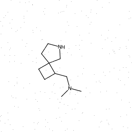 CN(C)CC1CCC12CCNC2